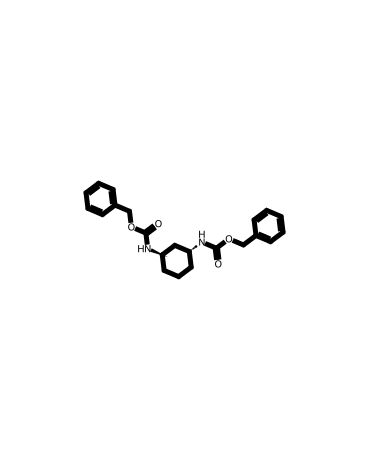 O=C(N[C@@H]1CCC[C@@H](NC(=O)OCc2ccccc2)C1)OCc1ccccc1